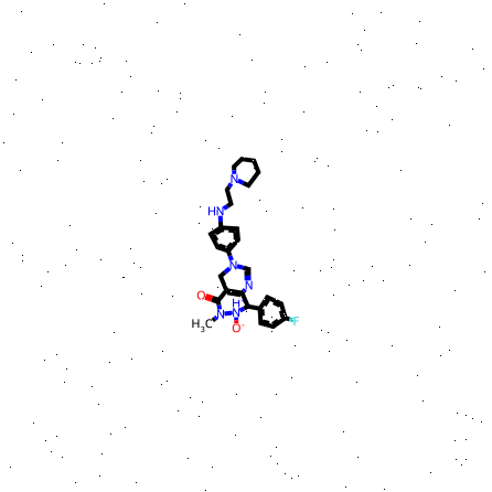 CN1C(=O)C2=C(N=CN(c3ccc(NCCN4CCCCC4)cc3)C2)C(c2ccc(F)cc2)[NH+]1[O-]